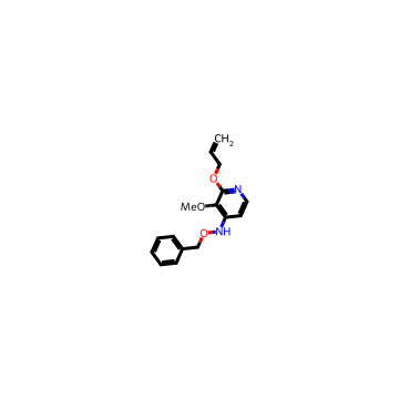 C=CCOc1nccc(NOCc2ccccc2)c1OC